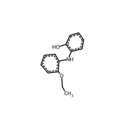 CCOc1ccccc1Nc1ccccc1O